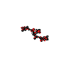 c1ccc(C2(c3ccccc3)c3ccccc3-c3ccc(-c4nc(-n5c6ccccc6c6cc(-c7ccc8c(c7)c7ccccc7n8-c7ccc8c(c7)C(c7ccccc7)(c7ccccc7)c7ccccc7-8)ccc65)nc5ccc6cc(-n7c8ccccc8c8cc(-c9ccc%10c(c9)c9ccccc9n%10-c9ccc%10c(c9)C(c9ccccc9)(c9ccccc9)c9ccccc9-%10)ccc87)ccc6c45)cc32)cc1